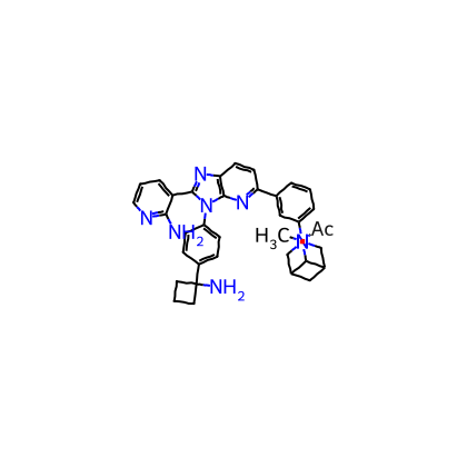 CC(=O)N(C)C1C2CC1CN(c1cccc(-c3ccc4nc(-c5cccnc5N)n(-c5ccc(C6(N)CCC6)cc5)c4n3)c1)C2